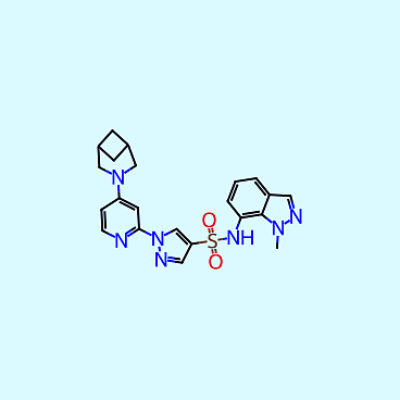 Cn1ncc2cccc(NS(=O)(=O)c3cnn(-c4cc(N5CC6CC(C6)C5)ccn4)c3)c21